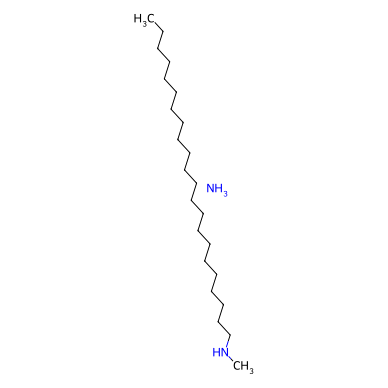 CCCCCCCCCCCCCCCCCCCCCCNC.N